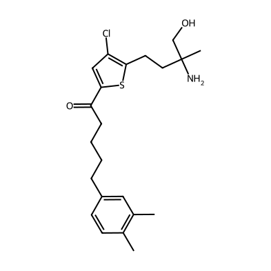 Cc1ccc(CCCCC(=O)c2cc(Cl)c(CCC(C)(N)CO)s2)cc1C